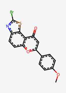 COc1ccc(-c2cc(=O)c3c(ccc4nc(Br)sc43)o2)cc1